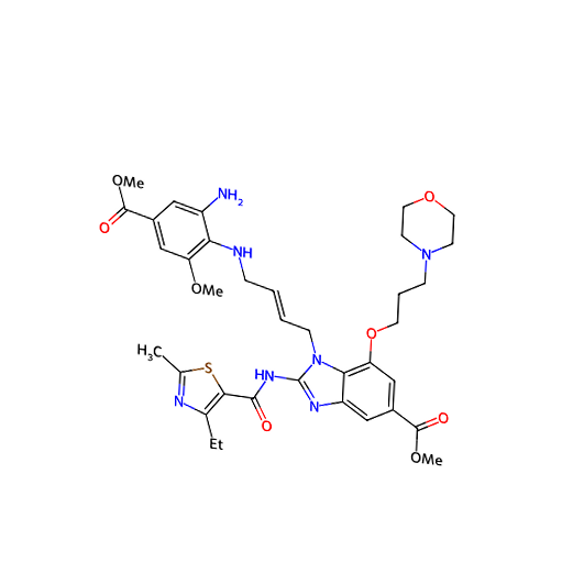 CCc1nc(C)sc1C(=O)Nc1nc2cc(C(=O)OC)cc(OCCCN3CCOCC3)c2n1C/C=C/CNc1c(N)cc(C(=O)OC)cc1OC